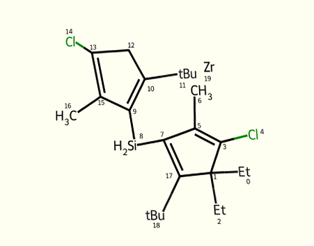 CCC1(CC)C(Cl)=C(C)C([SiH2]C2=C(C(C)(C)C)CC(Cl)=C2C)=C1C(C)(C)C.[Zr]